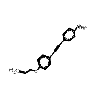 C=CCOc1ccc(C#Cc2ccc(CCCCC)cc2)cc1